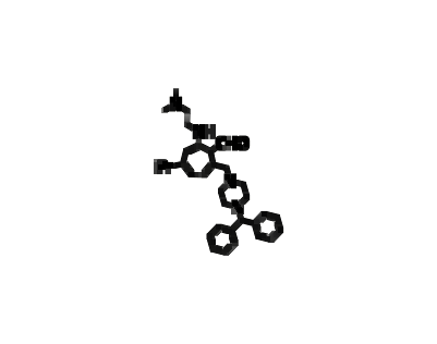 CC(C)C1=CC=C(CN2CCN(C(c3ccccc3)c3ccccc3)CC2)C(C=O)C(NCCN(C)C)=C1